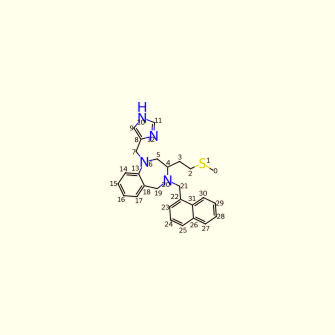 CSCCC1CN(Cc2c[nH]cn2)c2ccccc2CN1Cc1cccc2ccccc12